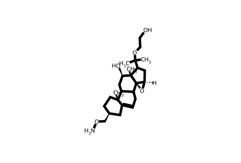 CC(C)(OCCO)C1C[C@H]2O[C@]23C2CC=C4C[C@@H](CON)CC[C@]4(C)C2C[C@@H](O)[C@]13C